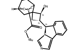 CC(C)(C)OC(=O)N1CC2CC[C@H](C1)CC21C[C@@H]([C@H]2c3ccccc3-c3cncn32)[C@@H]1O